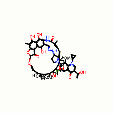 C=C(O)c1cn(C2CC2)c2c(OC)c(N3CCC(N/N=C/c4c5c(O)c6c(O)c(C)c7c(c6c4O)C(=O)[C@@](C)(O/C=C/[C@H](OC)[C@@H](C)[C@@H](OC(C)=O)[C@H](C)[C@H](O)[C@H](C)[C@@H](O)[C@@H](C)/C=C/C=C(/C)C(=O)N5)O7)C3)c(F)cc2c1=O